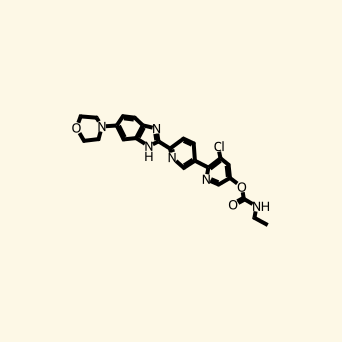 CCNC(=O)Oc1cnc(-c2ccc(-c3nc4ccc(N5CCOCC5)cc4[nH]3)nc2)c(Cl)c1